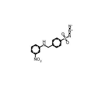 [N-]=[N+]=NS(=O)(=O)c1ccc(CNc2cccc([N+](=O)[O-])c2)cc1